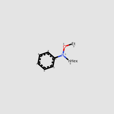 CCCCCCN(OCC)c1ccccc1